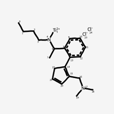 CCCC[N]([Ti+2])C(C)c1ccccc1C1=C(CN(C)C)C=CC1.[Cl-].[Cl-]